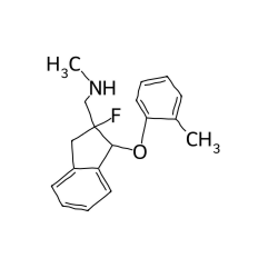 CNCC1(F)Cc2ccccc2C1Oc1ccccc1C